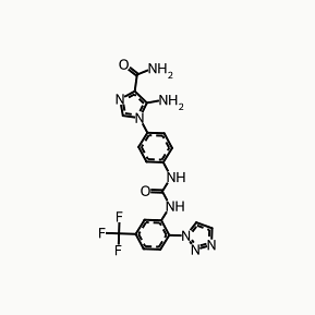 NC(=O)c1ncn(-c2ccc(NC(=O)Nc3cc(C(F)(F)F)ccc3-n3ccnn3)cc2)c1N